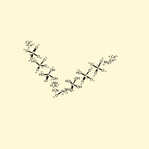 N.N.N.N.O=P(O)(O)O.O=P(O)(O)O.O=P([O-])([O-])O.O=P([O-])([O-])O.O=P([O-])([O-])[O-].O=S(=O)([O-])[O-].O=[N+]([O-])[O-].[Ca+2].[Ca+2].[Ca+2].[Ca+2].[Mg+2]